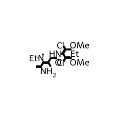 C=C(N)/C(=C(\C)CC(=O)NC(=C(\Cl)COC)/C(Cl)=C(\CC)OC)N(C)CC